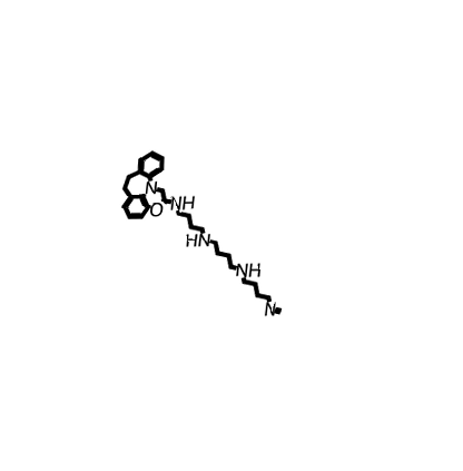 C=NCCCCNCCCCNCCCCNC(=O)CN1c2ccccc2CCc2ccccc21